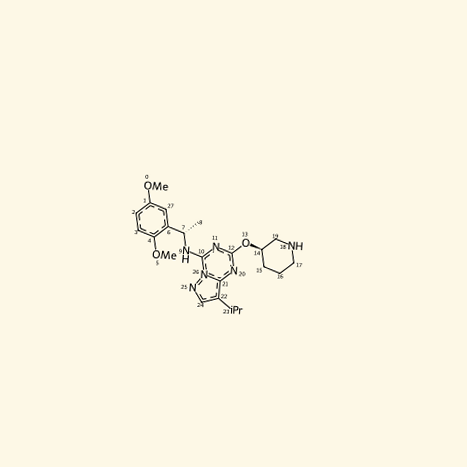 COc1ccc(OC)c([C@H](C)Nc2nc(O[C@@H]3CCCNC3)nc3c(C(C)C)cnn23)c1